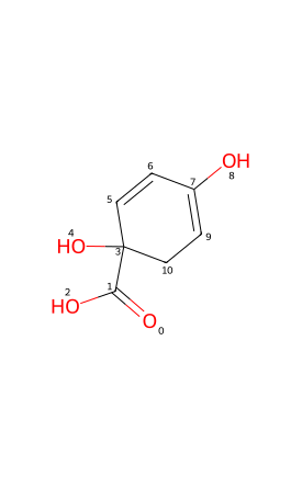 O=C(O)C1(O)C=CC(O)=CC1